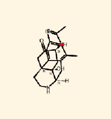 CC(=O)N[C@H]1C[C@@]2(O)[C@H]3Cc4c(C)cc(O)cc4[C@@]2(CCN3)CC1=O